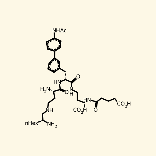 CCCCCC[C@H](N)CNCC[C@H](N)C(=O)N[C@H](Cc1cccc(-c2ccc(NC(C)=O)cc2)c1)C(=O)NCC[C@@H](NC(=O)CCCC(=O)O)C(=O)O